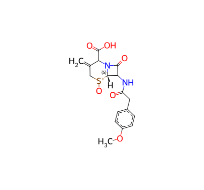 C=C1C[S+]([O-])[C@H]2C(NC(=O)Cc3ccc(OC)cc3)C(=O)N2C1C(=O)O